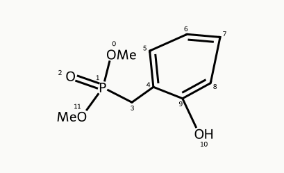 COP(=O)(Cc1ccccc1O)OC